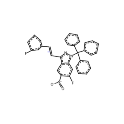 O=[N+]([O-])c1cc2c(/C=C/c3cccc(F)c3)nn(C(c3ccccc3)(c3ccccc3)c3ccccc3)c2cc1F